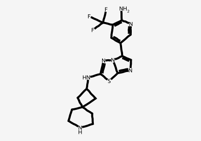 Nc1ncc(-c2cnc3sc(NC4CC5(CCNCC5)C4)nn23)cc1C(F)(F)F